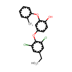 O=C(O)Cc1cc(Cl)c(Oc2ccc(O)c(Oc3ccccc3C(F)(F)F)c2)c(Cl)c1